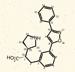 O=C(O)[C@@H](Cc1cccc(-c2cc(-c3ccccc3)no2)c1)[C@H]1CCNC1